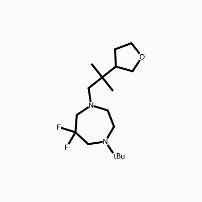 CC(C)(CN1CCN(C(C)(C)C)CC(F)(F)C1)C1CCOC1